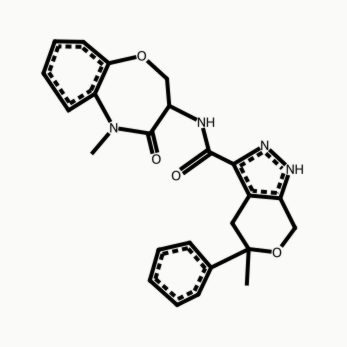 CN1C(=O)C(NC(=O)c2n[nH]c3c2CC(C)(c2ccccc2)OC3)COc2ccccc21